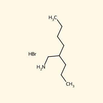 Br.CCCCC(CN)CCC